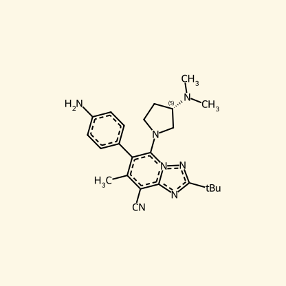 Cc1c(-c2ccc(N)cc2)c(N2CC[C@H](N(C)C)C2)n2nc(C(C)(C)C)nc2c1C#N